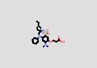 CCCC[C@]1(CC)CN(c2ccccc2)c2cc(N(C)C)c(OCCC(=O)O)cc2S(=O)(=O)N1